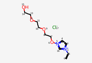 C=C[n+]1ccn(OCCOCCOCCO)c1.[Cl-]